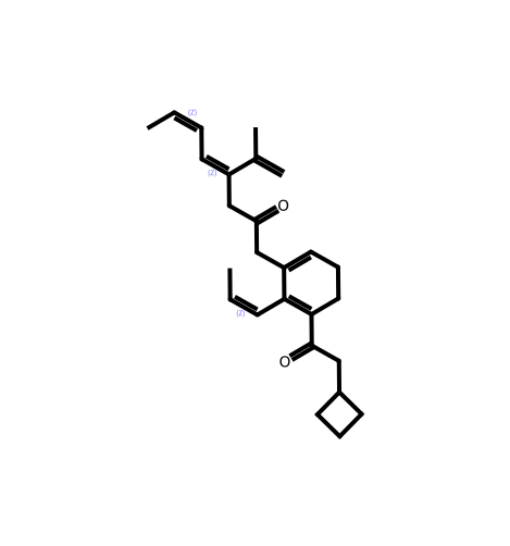 C=C(C)/C(=C\C=C/C)CC(=O)CC1=CCCC(C(=O)CC2CCC2)=C1/C=C\C